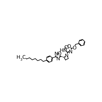 CCCCCCCCc1ccc(-c2noc([C@@H]3CCN3/C(=N/C(=O)OCc3ccccc3)NCl)n2)cc1